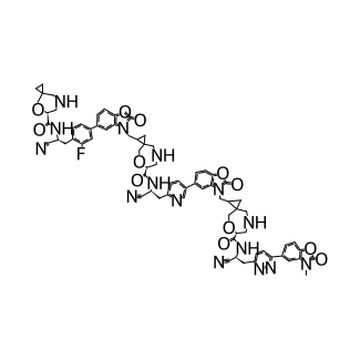 Cn1c(=O)oc2ccc(-c3ccc(C[C@@H](C#N)NC(=O)[C@@H]4CNCC5(CO4)CC5Cn4c(=O)oc5ccc(-c6ccc(C[C@@H](C#N)NC(=O)[C@@H]7CNCC8(CO7)CC8Cn7c(=O)oc8ccc(-c9ccc(C[C@@H](C#N)NC(=O)[C@@H]%10CNCC%11(CC%11)CO%10)c(F)c9)cc87)nc6)cc54)nn3)cc21